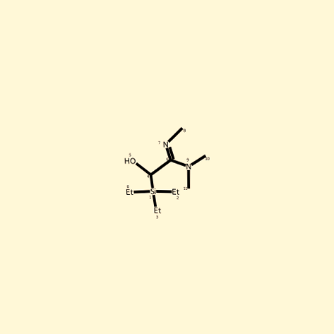 CC[Si](CC)(CC)C(O)C(=NC)N(C)C